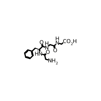 NCC(=O)N[C@@H](Cc1ccccc1)C(=O)NCC(=O)NCC(=O)O